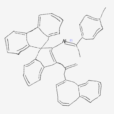 C=C(C1=C(/N=C(\C)c2ccc(C)cc2)C2(c3ccccc31)c1ccccc1-c1ccccc12)c1cccc2ccccc12